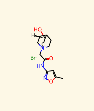 Cc1cc(NC(=O)C[N+]23CCC(CC2)[C@@H](O)C3)no1.[Br-]